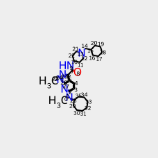 CN(c1ccc2c(C(=O)NC3CCN(CC4CCCCC4)CC3)nn(C)c2n1)C1CCCCCCC1